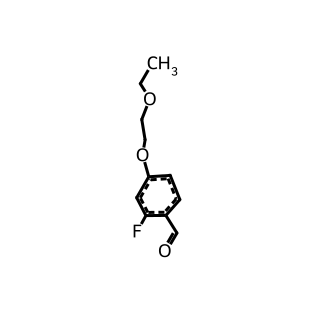 CCOCCOc1ccc(C=O)c(F)c1